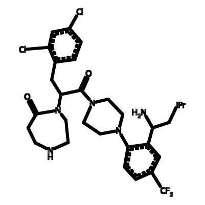 CC(C)CC(N)c1cc(C(F)(F)F)ccc1N1CCN(C(=O)C(Cc2ccc(Cl)cc2Cl)N2CCNCCC2=O)CC1